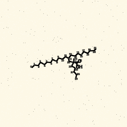 CCCCCCCCCCCCC(CCCCCCCCC)CC(C)(CCCCC)C(=O)O